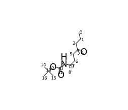 CCCC(=O)CC[C@H](C)NC(=O)OC(C)(C)C